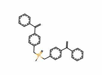 C=C(c1ccccc1)c1ccc(CP(=C)(C)Cc2ccc(C(=C)c3ccccc3)cc2)cc1